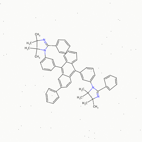 CC1(C)N=C(c2ccccc2)N(c2cccc(-c3c4ccccc4c(-c4cccc(N5C(c6ccccc6)=NC(C)(C)C5(C)C)c4)c4cc(-c5ccccc5)ccc34)c2)C1(C)C